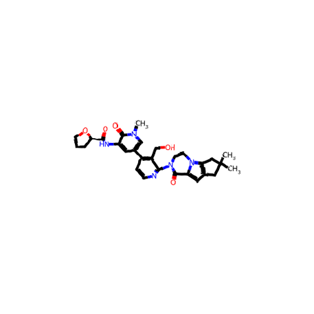 Cn1cc(-c2ccnc(N3CCn4c(cc5c4CC(C)(C)C5)C3=O)c2CO)cc(NC(=O)[C@H]2CCCO2)c1=O